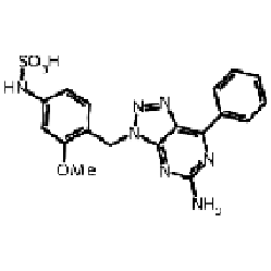 COc1cc(NS(=O)(=O)O)ccc1Cn1nnc2c(-c3ccccc3)nc(N)nc21